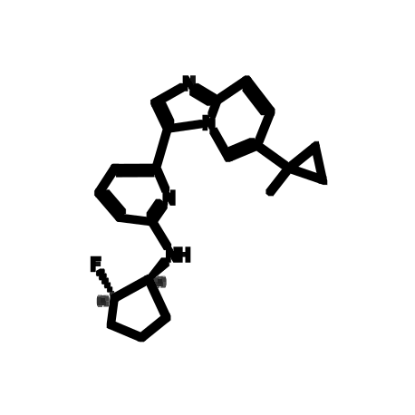 CC1(c2ccc3ncc(-c4cccc(N[C@H]5CCC[C@@H]5F)n4)n3c2)CC1